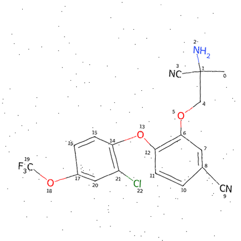 CC(N)(C#N)COc1cc(C#N)ccc1Oc1ccc(OC(F)(F)F)cc1Cl